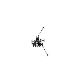 C=CC=CCCCCCCCCCCN1C=CN(C(O)C(O)OC(O)C(O)N2C=CN(CCCCCCCCCCC=CC=C)C2)C1